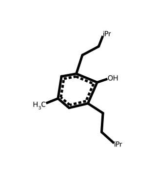 Cc1cc(CCC(C)C)c(O)c(CCC(C)C)c1